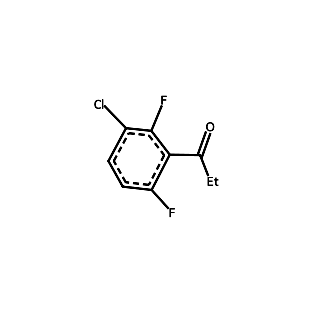 [CH2]CC(=O)c1c(F)ccc(Cl)c1F